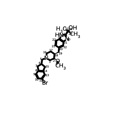 CO[C@H]1CN(CC2Cc3ccc(Br)cc3C2)CC[C@H]1Cc1ccc2[nH]c(C(C)(C)O)nc2c1